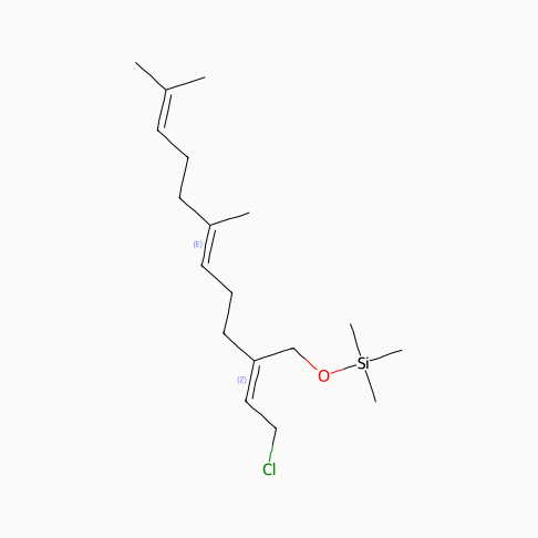 CC(C)=CCC/C(C)=C/CC/C(=C/CCl)CO[Si](C)(C)C